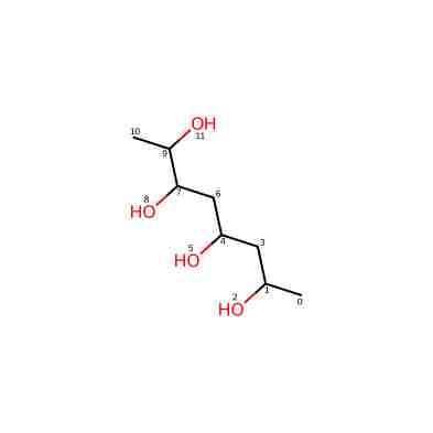 CC(O)CC(O)CC(O)C(C)O